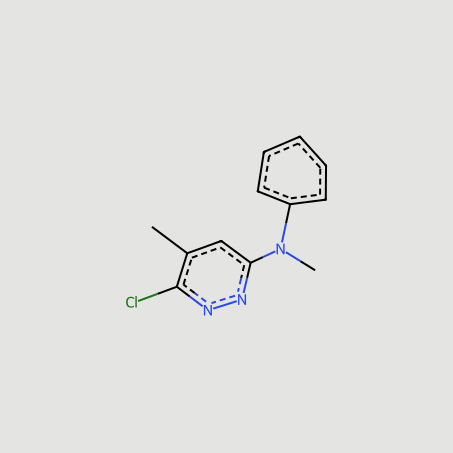 Cc1cc(N(C)c2ccccc2)nnc1Cl